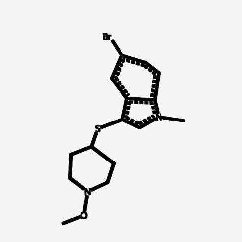 CON1CCC(Sc2cn(C)c3ccc(Br)cc23)CC1